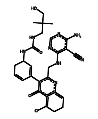 CC(C)(CO)CNC(=O)NC1C=C(n2c(CNc3ncnc(N)c3C#N)nc3c(c2=O)=C(Cl)CCC=3)C=CC1